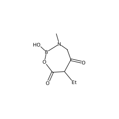 CCC1C(=O)CN(C)B(O)OC1=O